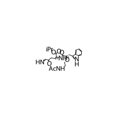 CC(=O)NCCO[C@@H](Cc1c[nH]c2ccccc12)C(=O)N[C@@H](CCC(=O)C=N)C(=O)OC(C)C